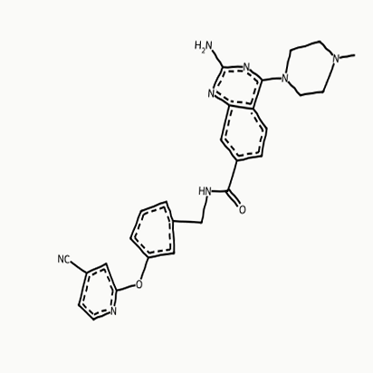 CN1CCN(c2nc(N)nc3cc(C(=O)NCc4cccc(Oc5cc(C#N)ccn5)c4)ccc23)CC1